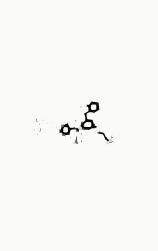 COc1cc(-c2nc3c(Cc4ccccc4Br)cc(OCCCN(C)C)cc3[nH]2)cc(OC)c1OC